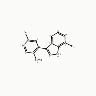 COc1cnc(Cl)nc1-c1c[nH]c2c(F)cccc12